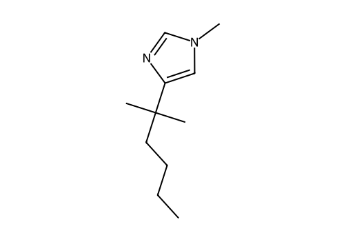 CCCCC(C)(C)c1cn(C)cn1